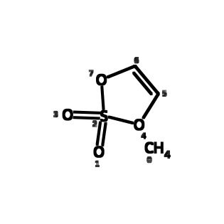 C.O=S1(=O)OC=CO1